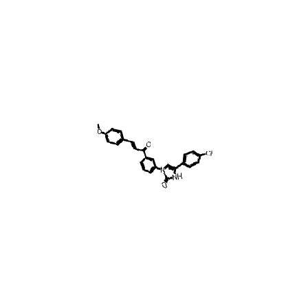 COc1ccc(C=CC(=O)c2cccc(-n3cc(-c4ccc(Cl)cc4)[nH]c3=O)c2)cc1